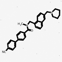 CN(Cc1cccc2cc(CN3CCCCC3)ccc12)C(=O)c1ccc(-c2ccc(C#N)cc2)cc1